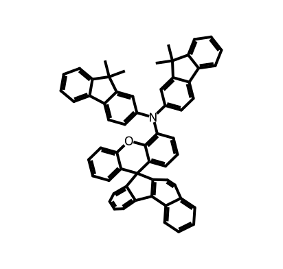 CC1(C)c2ccccc2-c2ccc(N(c3ccc4c(c3)C(C)(C)c3ccccc3-4)c3cccc4c3Oc3ccccc3C43c4ccccc4-c4c3ccc3ccccc43)cc21